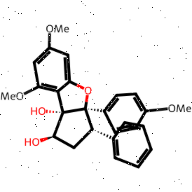 COc1ccc([C@@]23Oc4cc(OC)cc(OC)c4[C@]2(O)[C@H](O)C[C@H]3c2ccccc2)cc1